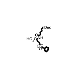 CCCCCCCCCCCCCCC(=O)N[C@@H](CCC(=O)OC(=O)c1ccccc1)C(=O)O